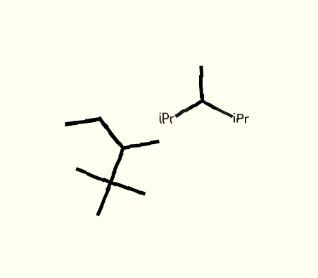 CC(C)C(C)C(C)C.CCC(C)C(C)(C)C